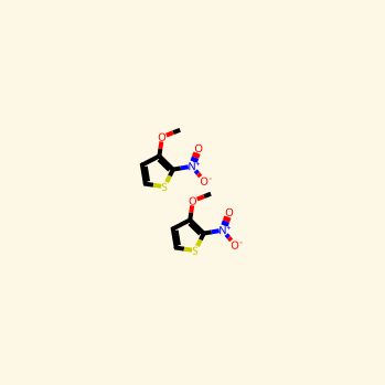 COc1ccsc1[N+](=O)[O-].COc1ccsc1[N+](=O)[O-]